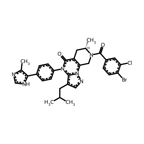 Cc1nc[nH]c1-c1ccc(-n2c(=O)c3c(n4ncc(CC(C)C)c24)CN(C(=O)c2ccc(Br)c(Cl)c2)[C@@H](C)C3)cc1